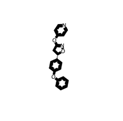 c1ccc(Oc2ccc([C@@H]3CC(Oc4ccncc4)=NO3)cc2)cc1